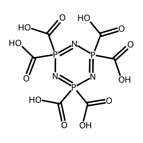 O=C(O)P1(C(=O)O)=NP(C(=O)O)(C(=O)O)=NP(C(=O)O)(C(=O)O)=N1